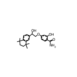 CC1(C)CCC(C)(C)c2cc(C(O)COc3ccc(C(N)=O)c(O)c3)ccc21